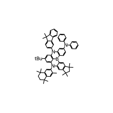 Cc1cc2c(cc1N1c3cc4c(cc3B3c5ccc(N(c6ccccc6)c6ccccc6)cc5N(c5ccc6c(c5)-c5ccccc5C6(C)C)c5cc(C(C)(C)C)cc1c53)C(C)(C)CC4(C)C)C(C)(C)CCC2(C)C